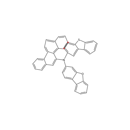 c1ccc2c(c1)cc(N(c1ccc3c(c1)oc1ccccc13)c1ccc3sc4ccccc4c3c1)c1c3ccccc3ccc21